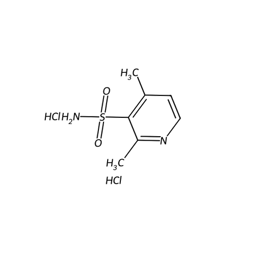 Cc1ccnc(C)c1S(N)(=O)=O.Cl.Cl